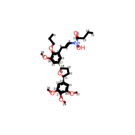 CCCOc1c(CC=CN(O)C(=O)CCC)cc([C@@H]2CC[C@@H](c3cc(OC)c(OC)c(OC)c3)O2)cc1OC